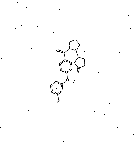 O=C(c1ccc(Oc2cccc(F)c2)cc1)C1CCCN1C1CCNC1